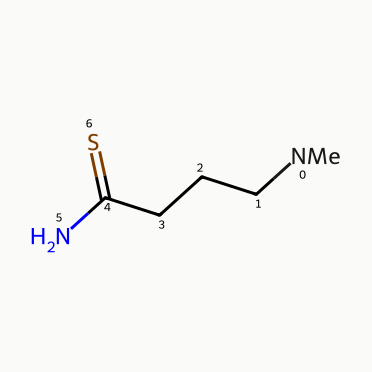 CNCCCC(N)=S